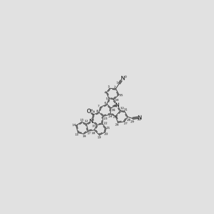 N#Cc1ccc2c3cc4c(=O)n5c6ccccc6c6cccc(c4c4c7ccc(C#N)cc7n(c2c1)c34)c65